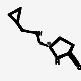 O=C1CC[C@@H](CNCC2CC2)N1